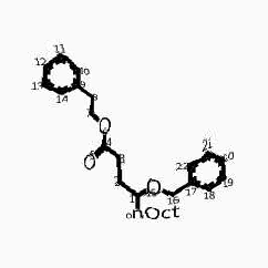 CCCCCCCCC(CCC(=O)OCCc1ccccc1)OCc1ccccc1